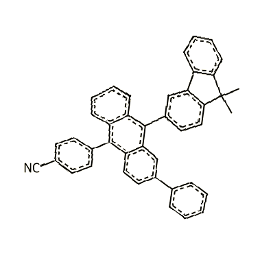 CC1(C)c2ccccc2-c2cc(-c3c4ccccc4c(-c4ccc(C#N)cc4)c4ccc(-c5ccccc5)cc34)ccc21